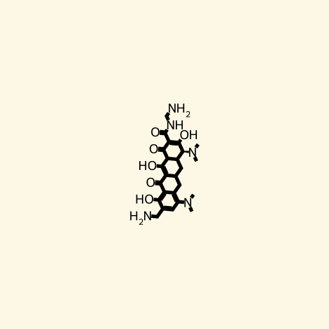 CN(C)c1cc(CN)c(O)c2c1CC1CC3C(C(=O)C(C(=O)NCN)=C(O)[C@H]3N(C)C)C(O)=C1C2=O